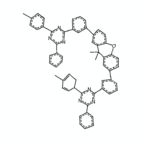 CC1=CCC(c2nc(-c3ccccc3)nc(-c3cccc(-c4ccc5c(c4)C(C)(C)c4cc(-c6cccc(-c7nc(-c8ccccc8)nc(-c8ccc(C)cc8)n7)c6)ccc4O5)c3)n2)C=C1